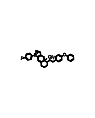 C[C@]12Cc3cnn(-c4ccc(F)cc4)c3C=C1CCC[C@@H]2[C@@H](O)Cc1ccc(Oc2ccccc2)cc1